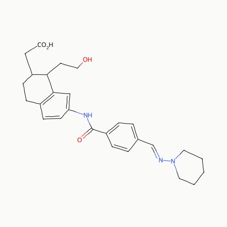 O=C(O)CC1CCc2ccc(NC(=O)c3ccc(C=NN4CCCCC4)cc3)cc2C1CCO